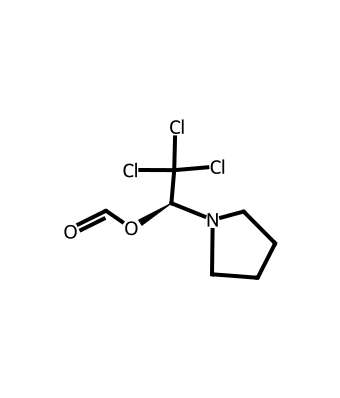 O=CO[C@H](N1CCCC1)C(Cl)(Cl)Cl